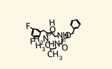 CC(C)CNC(=O)[C@H](COCc1ccccc1)NC[C@@H](O)[C@@H](N)Cc1cc(F)cc(F)c1